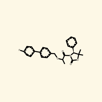 CC(OCc1ccc(-c2ccc(F)cc2)cc1)C(=O)N1C(=O)OC(C)(C)[C@@H]1c1ccccc1